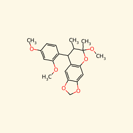 COc1ccc(C2c3cc4c(cc3OC(C)(OC)C2C)OCO4)c(OC)c1